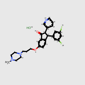 CN1CCN(CCCOc2ccc3c(c2)C(=O)C(c2cccnc2)C3c2cc(F)cc(F)c2)CC1.Cl